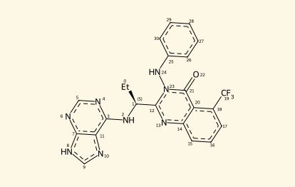 CC[C@H](Nc1ncnc2[nH]cnc12)c1nc2cccc(C(F)(F)F)c2c(=O)n1Nc1ccccc1